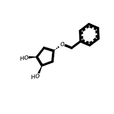 O[C@@H]1C[C@@H](OCc2ccccc2)C[C@@H]1O